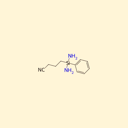 N#CCCC[Si](N)(N)c1ccccc1